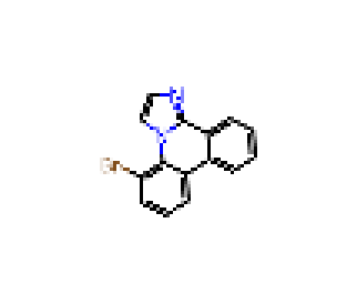 Brc1cccc2c3ccccc3c3nccn3c12